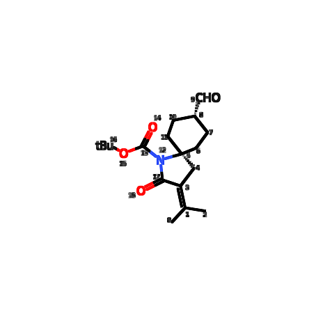 CC(C)=C1C[C@]2(CC[C@@H](C=O)CC2)N(C(=O)OC(C)(C)C)C1=O